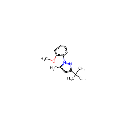 COc1ccccc1-n1nc(C(C)(C)C)cc1C